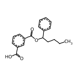 CCCCC(OC(=O)c1cccc(C(=O)O)c1)c1ccccc1